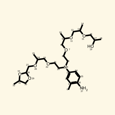 Cc1cc(N(CCOCC(C)OCC(C)OCC(C)O)CCOCC(C)OCC2OCC(C)O2)ccc1N